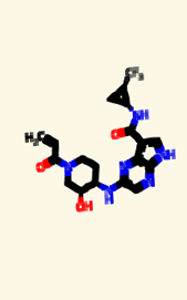 C=CC(=O)N1CC[C@@H](Nc2cnc3[nH]cc(C(=O)N[C@@H]4C[C@H]4C(F)(F)F)c3n2)[C@@H](O)C1